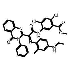 CCNc1ccc(/N=C(\C(=O)Nc2cc(C(=O)OC)c(Cl)cc2Cl)c2nc3ccccc3c(=O)n2-c2ccccc2)c(C)c1